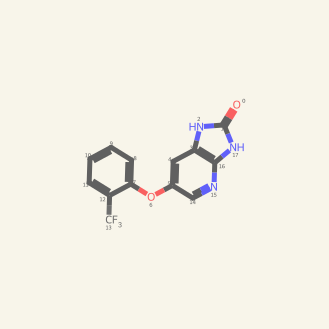 O=c1[nH]c2cc(Oc3ccccc3C(F)(F)F)cnc2[nH]1